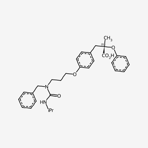 CC(C)NC(=O)N(CCCOc1ccc(C[C@](C)(Oc2ccccc2)C(=O)O)cc1)Cc1ccccc1